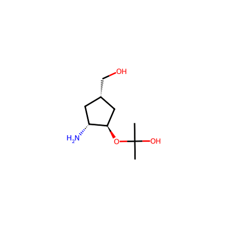 CC(C)(O)O[C@@H]1C[C@@H](CO)C[C@H]1N